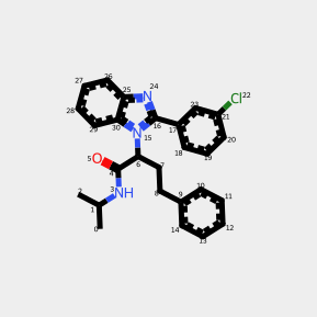 CC(C)NC(=O)C(CCc1ccccc1)n1c(-c2cccc(Cl)c2)nc2ccccc21